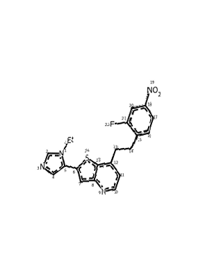 CCn1cncc1-c1cc2nccc(CCc3ccc([N+](=O)[O-])cc3F)c2s1